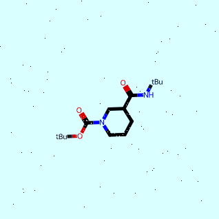 CC(C)(C)NC(=O)C1CCCN(C(=O)OC(C)(C)C)C1